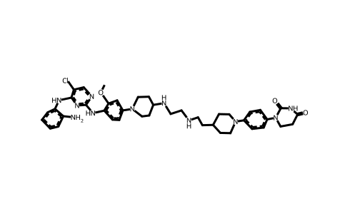 COc1cc(N2CCC(NCCNCCC3CCN(c4ccc(N5CCC(=O)NC5=O)cc4)CC3)CC2)ccc1Nc1ncc(Cl)c(Nc2ccccc2N)n1